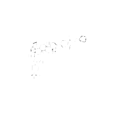 C=C(C)[C@@H]1CC[C@]2(NCC[C@]3(O)CC[C@H](S(C)(=O)=O)CC3)CC[C@]3(C)[C@H](CC[C@@H]4[C@@]5(C)CC=C(C6=CC[C@](CF)(C(=O)OCc7ccccc7)CC6)C(C)(C)[C@@H]5CC[C@]43C)[C@@H]12